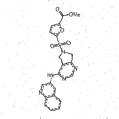 COC(=O)c1ccc(S(=O)(=O)N2Cc3ncnc(Nc4cnc5ccccc5c4)c3C2)o1